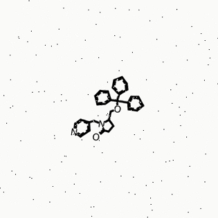 O=C1CCC(COC(c2ccccc2)(c2ccccc2)c2ccccc2)N1Cc1ccncc1